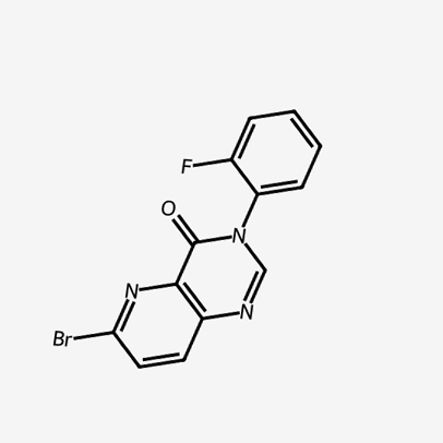 O=c1c2nc(Br)ccc2ncn1-c1ccccc1F